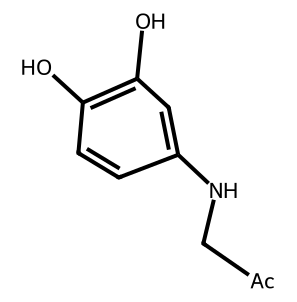 CC(=O)CNc1ccc(O)c(O)c1